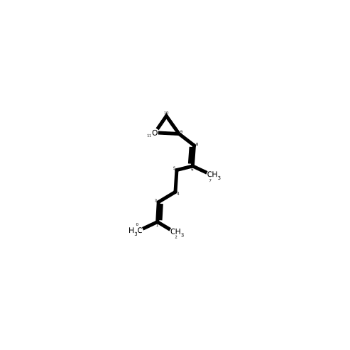 CC(C)=CCCC(C)=CC1CO1